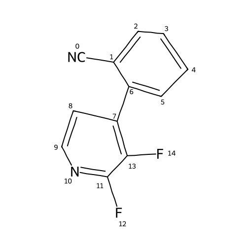 N#Cc1ccccc1-c1ccnc(F)c1F